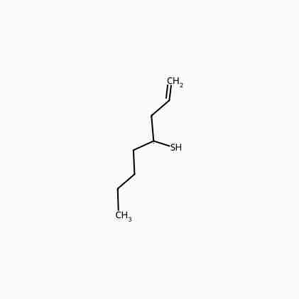 C=CC[C](S)CCCC